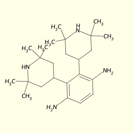 CC1(C)CC(c2c(N)ccc(N)c2C2CC(C)(C)NC(C)(C)C2)CC(C)(C)N1